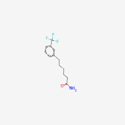 NC(=O)CCCCCc1cccc(C(F)(F)F)c1